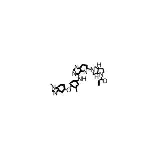 C=CC(=O)N1CC[C@H]2CN(c3ccc4ncnc(Nc5ccc(Oc6ccc7c(c6)ncn7C)c(C)c5)c4n3)C[C@H]21